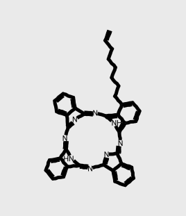 C=CCCCCCCc1cccc2c3nc4nc(nc5[nH]c(nc6nc(nc([nH]3)c12)-c1ccccc1-6)c1ccccc51)-c1ccccc1-4